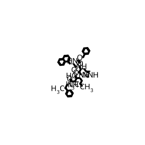 CC(C)CC(NC(=O)[C@H](Cc1c[nH]cn1)NC(=O)[C@H](Cc1cccc2ccccc12)NC(=O)OCc1ccccc1)C(O)CC(=O)NCC(C)c1ccccc1